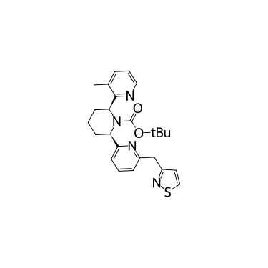 Cc1cccnc1[C@@H]1CCC[C@H](c2cccc(Cc3ccsn3)n2)N1C(=O)OC(C)(C)C